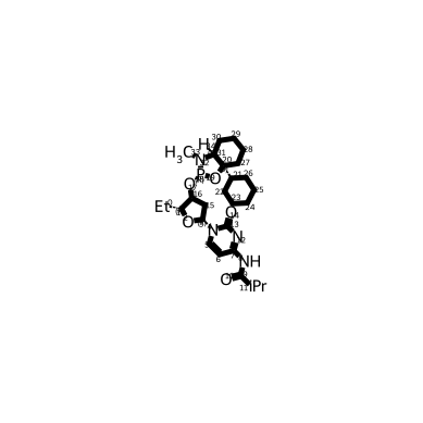 CC[C@H]1O[C@@H](n2ccc(NC(=O)C(C)C)nc2=O)CC1O[P@@]1O[C@]2(C3CCCCC3)CCCC[C@@H]2N1C